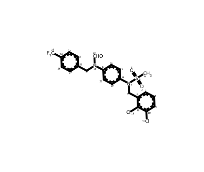 CS(=O)(=O)N(Cc1cccc(Cl)c1Cl)c1ccc(N(C=O)Cc2ccc(C(F)(F)F)cc2)cc1